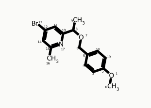 COc1ccc(COC(C)c2cc(Br)cc(C)n2)cc1